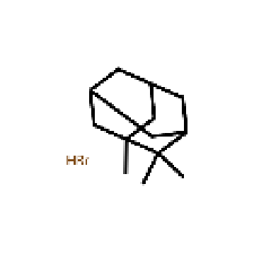 Br.CC12CC3CC(CC(C3)C1(C)C)C2